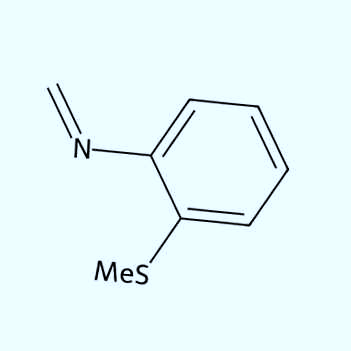 C=Nc1ccccc1SC